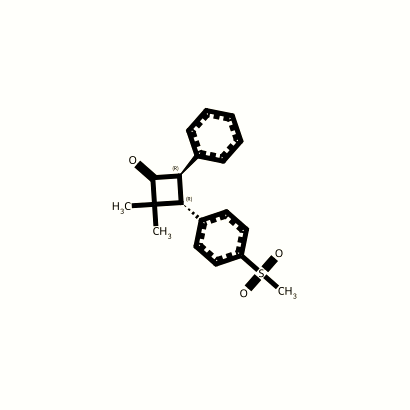 CC1(C)C(=O)[C@@H](c2ccccc2)[C@@H]1c1ccc(S(C)(=O)=O)cc1